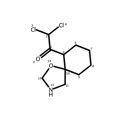 O=C(C(Cl)Cl)C1CCCCC12CNCO2